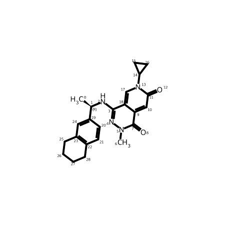 C[C@@H](Nc1nn(C)c(=O)c2cc(=O)n(C3CC3)cc12)c1ccc2c(c1)CCCC2